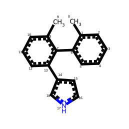 Cc1ccccc1-c1c(C)cccc1-c1cc[nH]c1